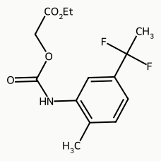 CCOC(=O)COC(=O)Nc1cc(C(C)(F)F)ccc1C